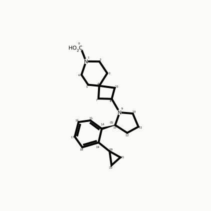 O=C(O)N1CCC2(CC1)CC(N1CCC[C@H]1c1ccccc1C1CC1)C2